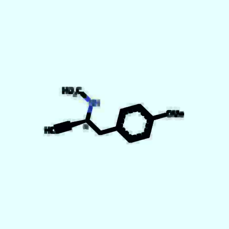 C#C[C@H](Cc1ccc(OC)cc1)NC(=O)O